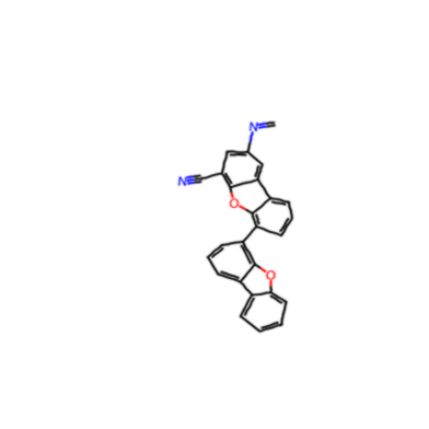 C=Nc1cc(C#N)c2oc3c(-c4cccc5c4oc4ccccc45)cccc3c2c1